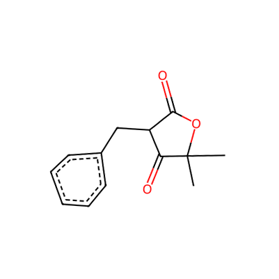 CC1(C)OC(=O)C(Cc2ccccc2)C1=O